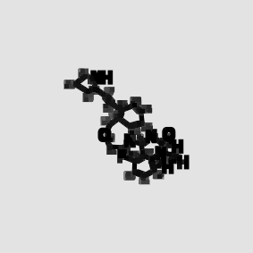 [2H]C([2H])([2H])n1c(=O)nc(N2CCOCc3c(C#CC4CCCN4)cccc32)c2c(F)cccc21